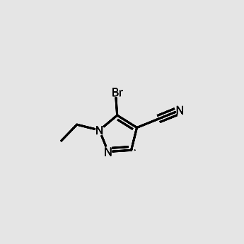 CCn1n[c]c(C#N)c1Br